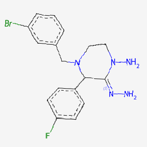 N/N=C1/C(c2ccc(F)cc2)N(Cc2cccc(Br)c2)CCN1N